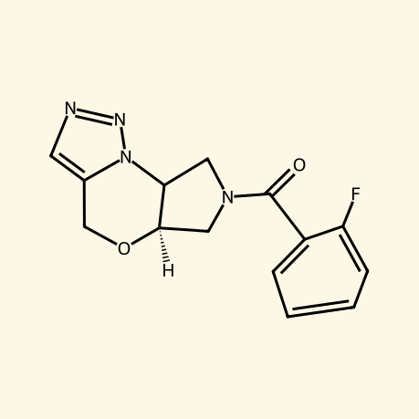 O=C(c1ccccc1F)N1CC2[C@@H](C1)OCc1cnnn12